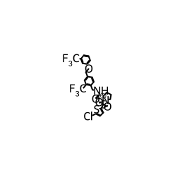 O=C(NCc1ccc(COc2cccc(C(F)(F)F)c2)cc1C(F)(F)F)[C@@H]1CCCN1S(=O)(=O)c1ccc(Cl)s1